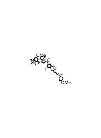 COc1cc2c(nc(C)n2C)c(F)c1-c1cccn2c(C(=O)c3cc(F)c(NC(=O)/C=C/CNC4CCC(OC)CC4)c(F)c3)ccc12